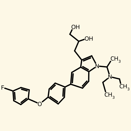 CCN(CC)C(C)n1cc(CC(O)CO)c2cc(-c3ccc(Oc4ccc(F)cc4)cc3)ccc21